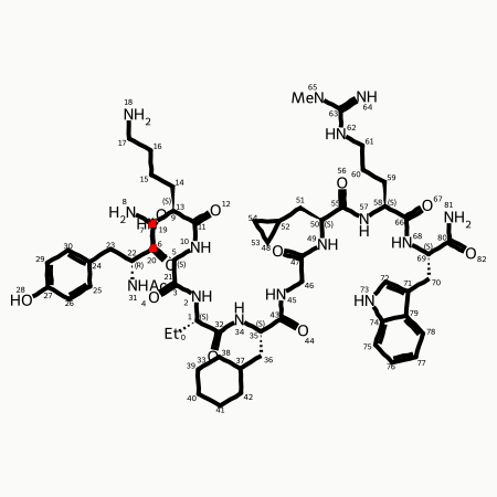 CC[C@H](NC(=O)[C@H](CC(N)=O)NC(=O)[C@H](CCCCN)NC(=O)[C@@H](Cc1ccc(O)cc1)NC(C)=O)C(=O)N[C@@H](CC1CCCCC1)C(=O)NCC(=O)N[C@@H](CC1CC1)C(=O)N[C@@H](CCCNC(=N)NC)C(=O)N[C@@H](Cc1c[nH]c2ccccc12)C(N)=O